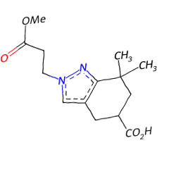 COC(=O)CCn1cc2c(n1)C(C)(C)CC(C(=O)O)C2